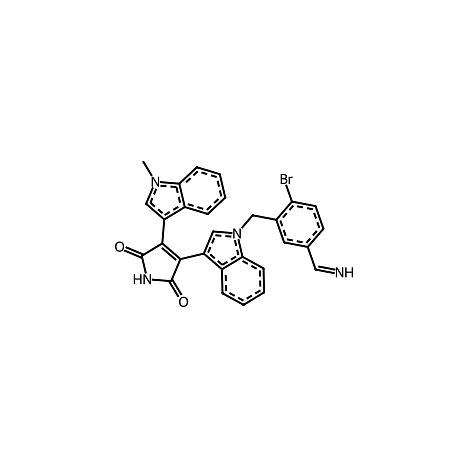 Cn1cc(C2=C(c3cn(Cc4cc(C=N)ccc4Br)c4ccccc34)C(=O)NC2=O)c2ccccc21